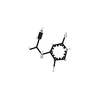 CC(C#N)Nc1cc(Cl)ncc1I